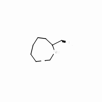 C=CC1CCCCCCCN1